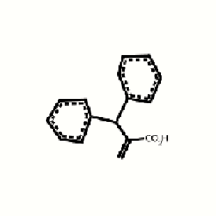 C=C(C(=O)O)C(c1ccccc1)c1ccccc1